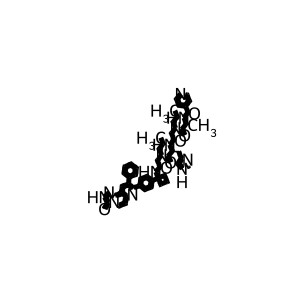 CCCN(CC(=O)NC1(c2ccc(-c3nc4ccn5c(=O)[nH]nc5c4cc3-c3ccccc3)cc2)CCC1)C(=O)[C@H](Cc1c[nH]cn1)NC(=O)CN(CCC)C(=O)[C@@H](C)NC(=O)c1ccncc1